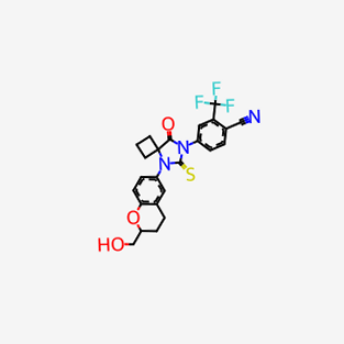 N#Cc1ccc(N2C(=O)C3(CCC3)N(c3ccc4c(c3)CCC(CO)O4)C2=S)cc1C(F)(F)F